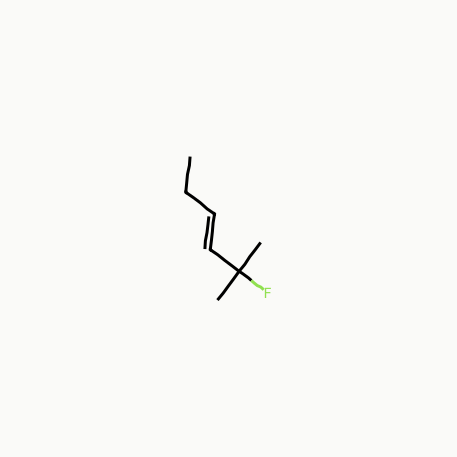 CC/C=C/C(C)(C)F